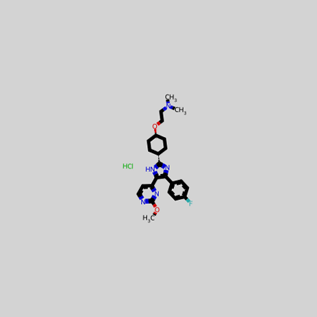 COc1nccc(-c2[nH]c([C@H]3CC[C@H](OCCN(C)C)CC3)nc2-c2ccc(F)cc2)n1.Cl